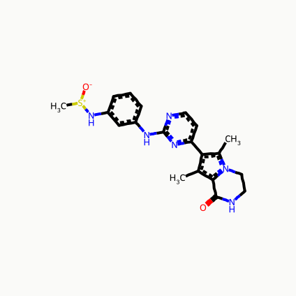 Cc1c(-c2ccnc(Nc3cccc(N[S+](C)[O-])c3)n2)c(C)n2c1C(=O)NCC2